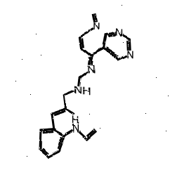 C=CNc1ccccc1/C=C(\C)CNC/N=C(\C=C/N=C)c1cncnc1